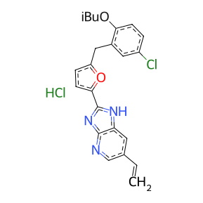 C=Cc1cnc2nc(-c3ccc(Cc4cc(Cl)ccc4OCC(C)C)o3)[nH]c2c1.Cl